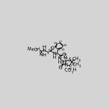 COCC(=N)NCC(=O)NC(C(=O)NC1C(=O)N2[C@@H]1SC(C)(C)[C@@H]2C(=O)O)c1ccccc1